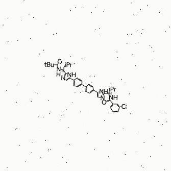 CC(C)[C@H](NC(=O)c1cccc(Cl)c1)c1ncc(-c2ccc(-c3ccc(-c4cnc([C@@H](NC(=O)C(C)(C)C)C(C)C)[nH]4)cc3)cc2)[nH]1